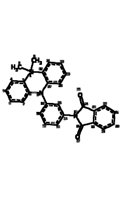 C[Si]1(C)c2ccccc2N(c2cccc(N3C(=O)c4ccccc4C3=O)c2)c2ccccc21